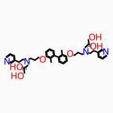 Cc1c(OCCCN(CCc2cccnc2)C[C@H](O)CO)cccc1-c1cccc(OCCCN(CCc2cccnc2)C[C@H](O)CO)c1C